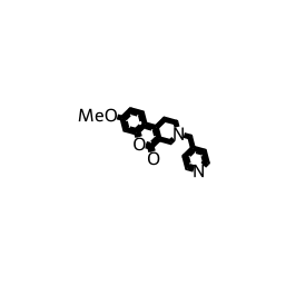 COc1ccc2c3c(c(=O)oc2c1)CN(Cc1ccncc1)CC3